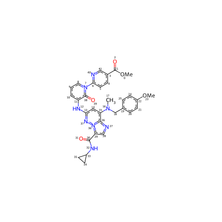 COC(=O)c1ccc(-n2cccc(Nc3cc(N(C)Cc4ccc(OC)cc4)c4ncc(C(=O)NC5CC5)n4n3)c2=O)nc1